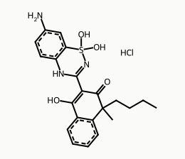 CCCCC1(C)C(=O)C(C2=NS(O)(O)c3cc(N)ccc3N2)=C(O)c2ccccc21.Cl